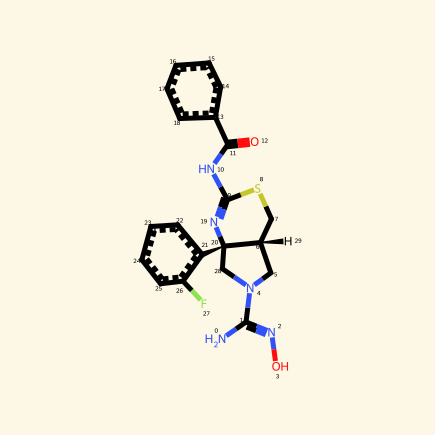 N/C(=N\O)N1C[C@H]2CSC(NC(=O)c3ccccc3)=N[C@@]2(c2ccccc2F)C1